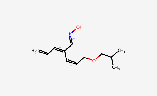 C=C/C=C(\C=C/COCC(C)C)/C=N/O